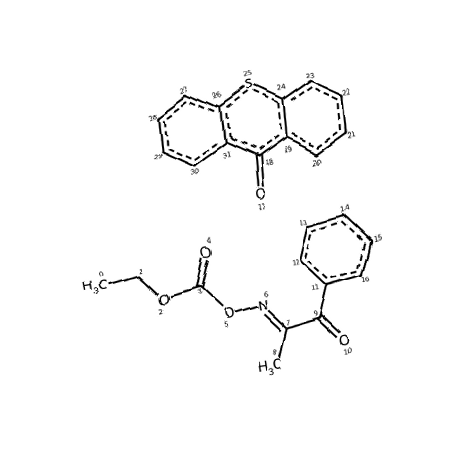 CCOC(=O)ON=C(C)C(=O)c1ccccc1.O=c1c2ccccc2sc2ccccc12